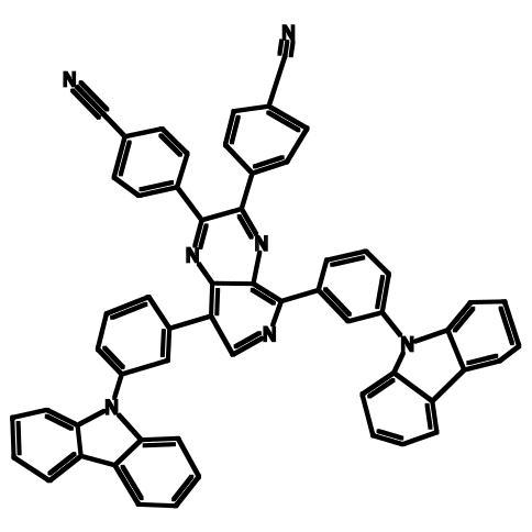 N#Cc1ccc(-c2nc3c(-c4cccc(-n5c6ccccc6c6ccccc65)c4)cnc(-c4cccc(-n5c6ccccc6c6ccccc65)c4)c3nc2-c2ccc(C#N)cc2)cc1